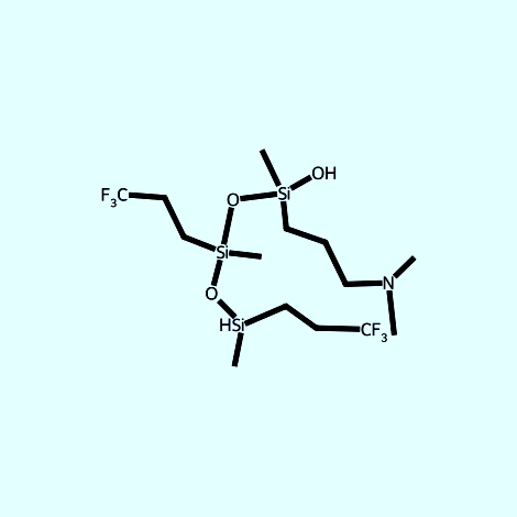 CN(C)CCC[Si](C)(O)O[Si](C)(CCC(F)(F)F)O[SiH](C)CCC(F)(F)F